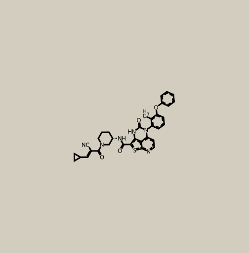 Cc1c(Oc2ccccc2)cccc1N1C(=O)Nc2c(C(=O)N[C@H]3CCCN(C(=O)/C(C#N)=C/C4CC4)C3)sc3nccc1c23